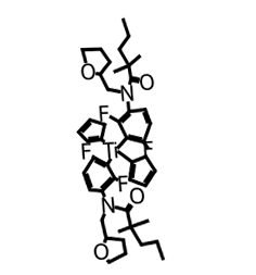 CCCC(C)(C)C(=O)N(CC1CCCO1)c1ccc(F)[c]([Ti]([C]2=CC=CC2)([C]2=CC=CC2)[c]2c(F)ccc(N(CC3CCCO3)C(=O)C(C)(C)CCC)c2F)c1F